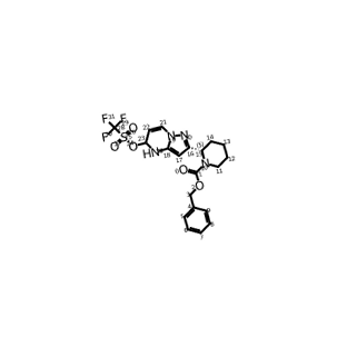 O=C(OCc1ccccc1)N1CCCC[C@H]1c1cc2n(n1)C=CC(OS(=O)(=O)C(F)(F)F)N2